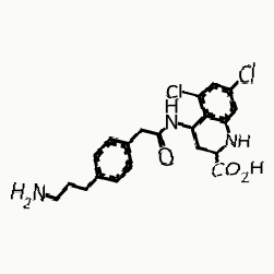 NCCCc1ccc(CC(=O)NC2CC(C(=O)O)Nc3cc(Cl)cc(Cl)c32)cc1